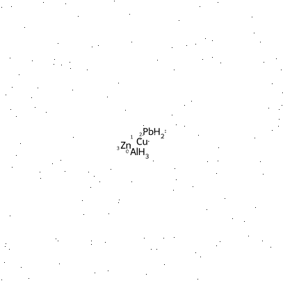 [AlH3].[Cu].[PbH2].[Zn]